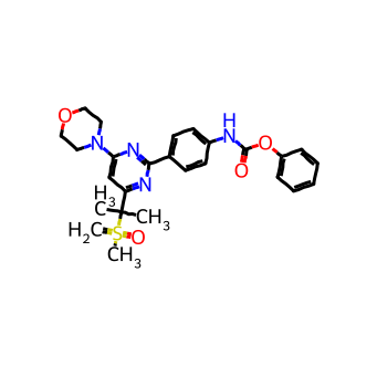 C=S(C)(=O)C(C)(C)c1cc(N2CCOCC2)nc(-c2ccc(NC(=O)Oc3ccccc3)cc2)n1